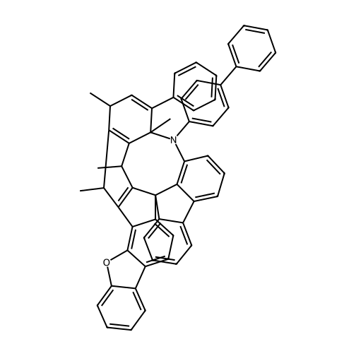 CC1C=C(c2ccccc2)C2(C)C3=C1C(C)C1=C(C3C)C3(c4ccccc4-c4cccc(c43)N2c2ccc(-c3ccccc3)cc2)c2ccc3c(oc4ccccc43)c21